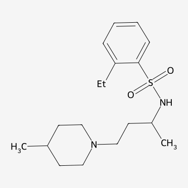 CCc1ccccc1S(=O)(=O)NC(C)CCN1CCC(C)CC1